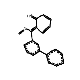 C=N/C(=C1/C=CC=CC1=N)c1cccc(-c2ccccc2)c1